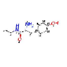 [CH2]CNC(=O)C(N)Cc1ccc(O)cc1